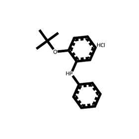 CC(C)(C)Oc1ccccc1Pc1ccccc1.Cl